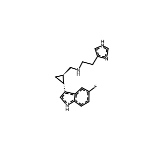 Fc1ccc2[nH]cc([C@@H]3C[C@H]3CNCCc3c[nH]cn3)c2c1